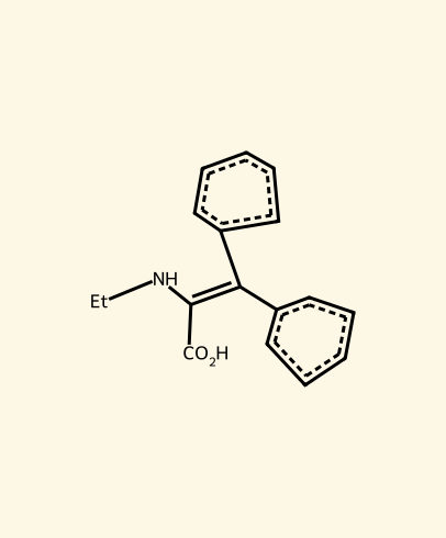 CCNC(C(=O)O)=C(c1ccccc1)c1ccccc1